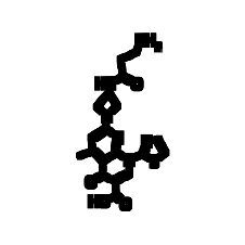 Cc1cc(N2CC(NC(=O)CCN)C2)nc2c1c(=O)c(C(=O)O)cn2-c1nccs1